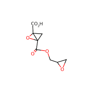 O=C(O)C12CC1(C(=O)OCC1CO1)O2